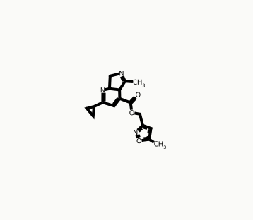 CC1=NCC2N=C(C3CC3)C=C(C(=O)OCc3cc(C)on3)C12